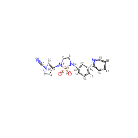 N#CN1CC[C@H](N2CCN(c3cccc(-c4ccccn4)c3)S2(=O)=O)C1